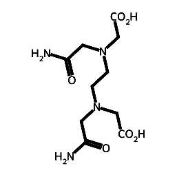 NC(=O)CN(CCN(CC(N)=O)CC(=O)O)CC(=O)O